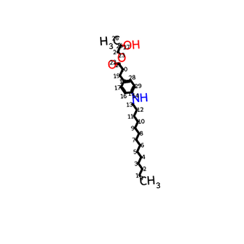 CCCCCCCCCCCCCCNc1ccc(CCC(=O)OCC(C)O)cc1